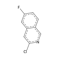 Fc1ccc2cnc(Cl)cc2c1